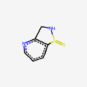 S=S1NCc2ncccc21